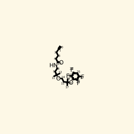 C#CCCCC(=O)NCCC(C)(C)OCCC(C)(C)Oc1c(F)c(F)cc(F)c1F